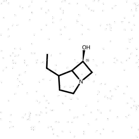 CCC1CCN2C[C@H](O)C12